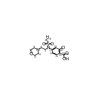 CS(=O)(=O)N(CCN1CCOCC1)c1ccc(C(=O)O)c(Cl)c1